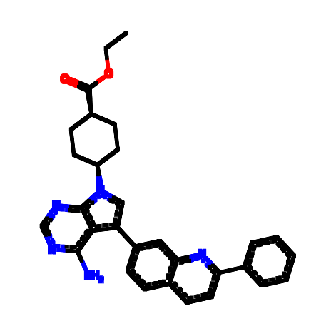 CCOC(=O)[C@H]1CC[C@@H](n2cc(-c3ccc4ccc(-c5ccccc5)nc4c3)c3c(N)ncnc32)CC1